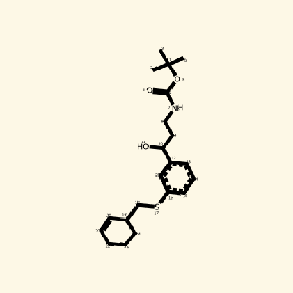 CC(C)(C)OC(=O)NCCC(O)c1cccc(SCC2C=CCCC2)c1